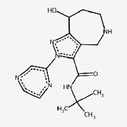 CC(C)(C)NC(=O)c1c2c(nn1-c1cnccn1)C(O)CCNC2